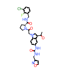 CC(=O)c1cn(CC(=O)N2CCC[C@H]2C(=O)NCc2cccc(Cl)c2F)c2ccc(NC(=O)NCc3ccon3)cc12